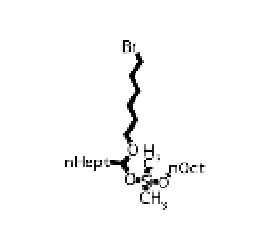 CCCCCCCCO[Si](C)(C)OC(CCCCCCC)OCCCCCCBr